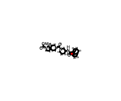 COC(=O)N1CCC2(CCN(C(=O)N3CCC[C@H](NC(=O)C45CC6CC(C4)C(O)C(C6)C5)C3)CC2)C1